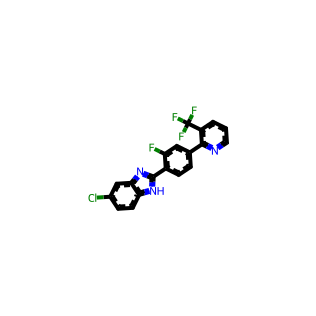 Fc1cc(-c2ncccc2C(F)(F)F)ccc1-c1nc2cc(Cl)ccc2[nH]1